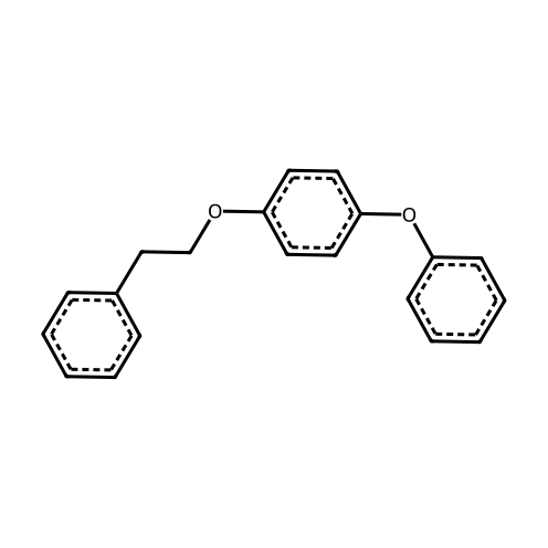 c1ccc(CCOc2ccc(Oc3ccccc3)cc2)cc1